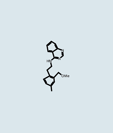 COCc1cc(C)ccc1CCNc1ncnc2ccccc12